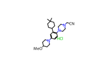 COC1CCN(c2ccc(N3CCN(CC#N)CC3)c(C3CCC(C)(C)CC3)c2)CC1.Cl